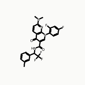 Cc1cccc(C(NC(=O)c2cn(-c3ccc(F)cc3F)c3nc(N(C)C)ccc3c2=O)C(F)(F)F)c1